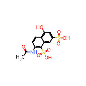 CC(=O)Nc1ccc2c(O)cc(S(=O)(=O)O)cc2c1S(=O)(=O)O